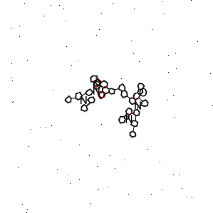 c1ccc(-c2ccc(-c3ccc(N(c4ccc(-c5ccc6c(-c7ccc8c(c7)cc(-c7ccccc7N(c7ccc(-c9ccc(-c%10ccccc%10)cc9-n9c%10ccccc%10c%10ccccc%109)cc7)c7ccccc7-c7cccc9c7oc7ccccc79)c7ccccc78)cccc6c5)cc4)c4ccccc4-c4cccc5c4oc4ccccc45)cc3)c(-n3c4ccccc4c4ccccc43)c2)cc1